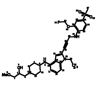 COCC(O)CN1CCC(Nc2cccc3c2cc(C#CCNc2ccc(S(C)(=O)=O)cc2OCF)n3CC(F)(F)F)CC1